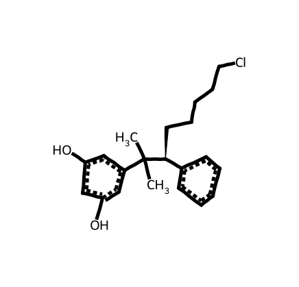 CC(C)(c1cc(O)cc(O)c1)[C@@H](CCCCCCl)c1ccccc1